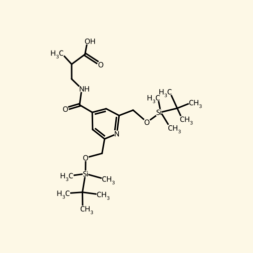 CC(CNC(=O)c1cc(CO[Si](C)(C)C(C)(C)C)nc(CO[Si](C)(C)C(C)(C)C)c1)C(=O)O